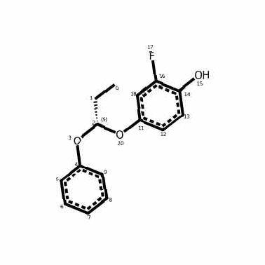 CC[C@@H](Oc1ccccc1)Oc1ccc(O)c(F)c1